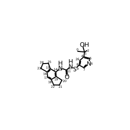 CC(C)(O)c1cncc(SNC(=O)Nc2c3c(cc4c2CCC4)CCC3)c1